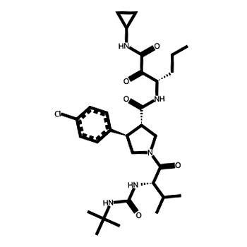 CCC[C@H](NC(=O)[C@@H]1CN(C(=O)[C@@H](NC(=O)NC(C)(C)C)C(C)C)C[C@H]1c1ccc(Cl)cc1)C(=O)C(=O)NC1CC1